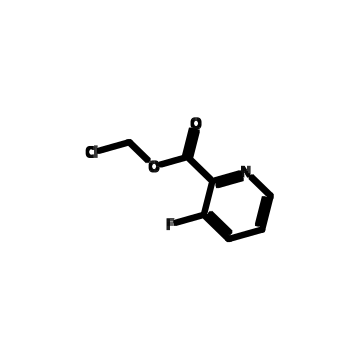 O=C(OCCl)c1ncccc1F